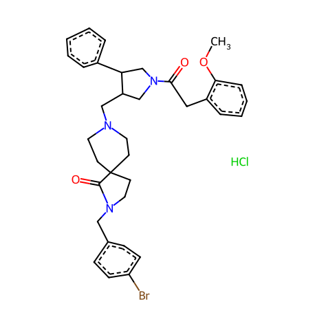 COc1ccccc1CC(=O)N1CC(CN2CCC3(CC2)CCN(Cc2ccc(Br)cc2)C3=O)C(c2ccccc2)C1.Cl